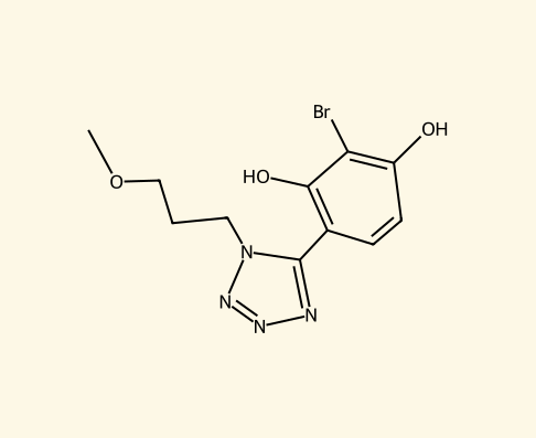 COCCCn1nnnc1-c1ccc(O)c(Br)c1O